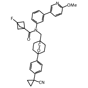 COc1ccc(-c2cccc(N(CC34CCC(c5ccc(C6(C#N)CC6)cc5)(CC3)OC4)C(=O)C34CC(F)(C3)C4)c2)cn1